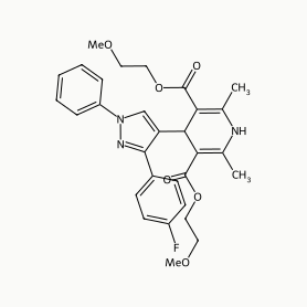 COCCOC(=O)C1=C(C)NC(C)=C(C(=O)OCCOC)C1c1cn(-c2ccccc2)nc1-c1ccc(F)cc1